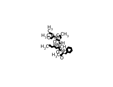 C=CCCC[C@](C)(NN[C@@H](CC(C)C)C(=O)N[C@H](C=O)CC(C)C)C(=O)N[C@@H](Cc1ccccc1)C(C)=O